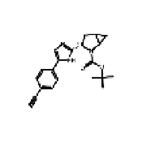 C#Cc1ccc(-c2cnc([C@@H]3CC4CC4N3C(=O)OC(C)(C)C)[nH]2)cc1